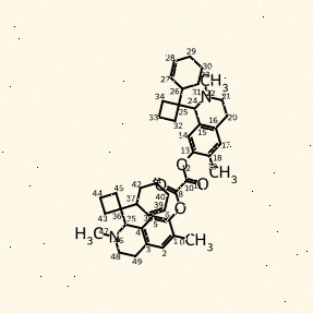 Cc1cc2c(cc1OC(=O)C(=O)Oc1cc3c(cc1C)CCN(C)C3C1(C3C=CCCC3)CCC1)C(C1(C3C=CCCC3)CCC1)N(C)CC2